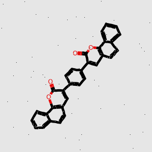 O=c1oc2c(ccc3ccccc32)cc1-c1ccc(-c2cc3ccc4ccccc4c3oc2=O)cc1